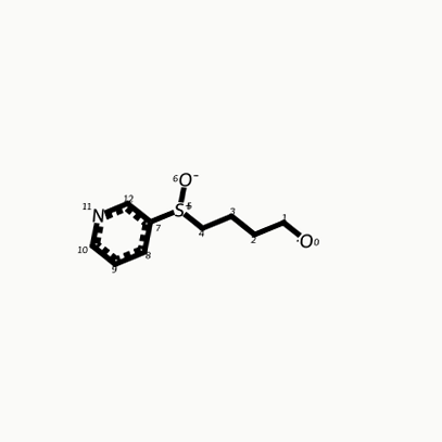 [O]CCCC[S+]([O-])c1cccnc1